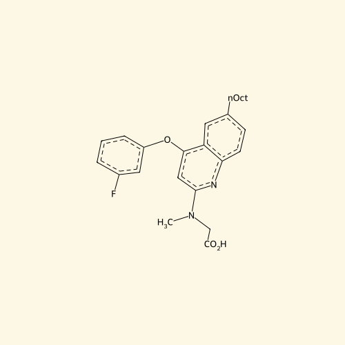 CCCCCCCCc1ccc2nc(N(C)CC(=O)O)cc(Oc3cccc(F)c3)c2c1